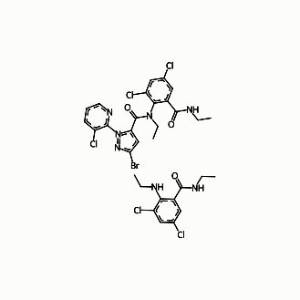 CCNC(=O)c1cc(Cl)cc(Cl)c1N(CC)C(=O)c1cc(Br)nn1-c1ncccc1Cl.CCNC(=O)c1cc(Cl)cc(Cl)c1NCC